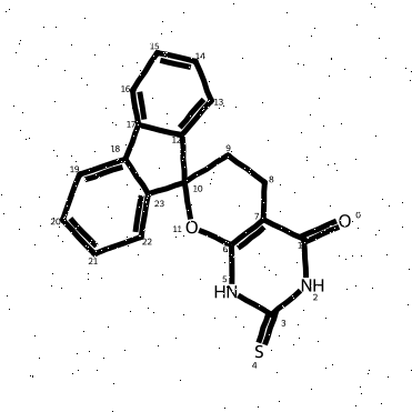 O=c1[nH]c(=S)[nH]c2c1CCC1(O2)c2ccccc2-c2ccccc21